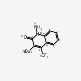 CCCCc1c(C(F)(F)F)c2ccccc2n(N)c1=O